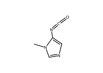 Cn1cncc1N=C=O